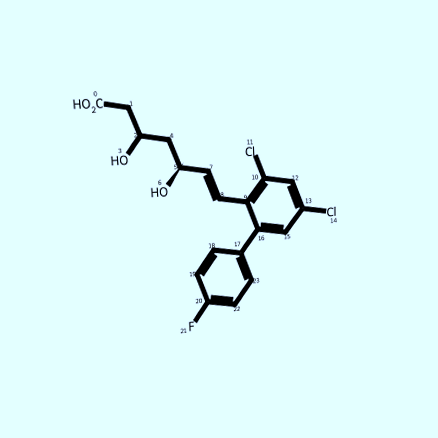 O=C(O)CC(O)C[C@H](O)C=Cc1c(Cl)cc(Cl)cc1-c1ccc(F)cc1